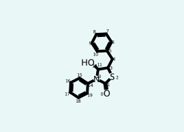 O=C1SC(Cc2ccccc2)C(O)N1c1ccccc1